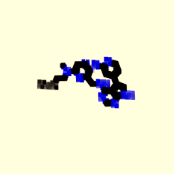 CNCCN(C)c1cccc(CNc2ncnc3[nH]cc(-c4ccnc(N)c4)c23)n1